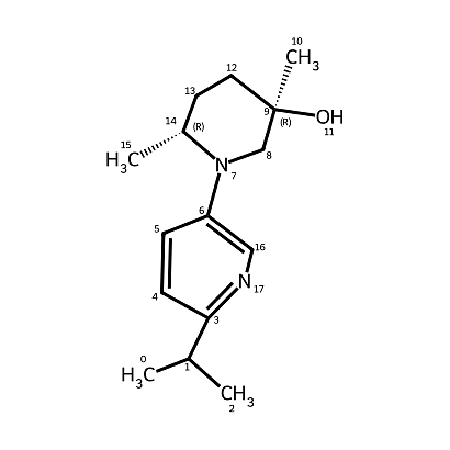 CC(C)c1ccc(N2C[C@](C)(O)CC[C@H]2C)cn1